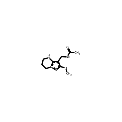 COc1nn2c(c1CNC(C)=O)NCCC2